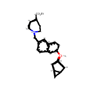 CCOC(=O)C1CCN(Cc2ccc3cc(OC4CC5CC5C4)ccc3c2)CC1